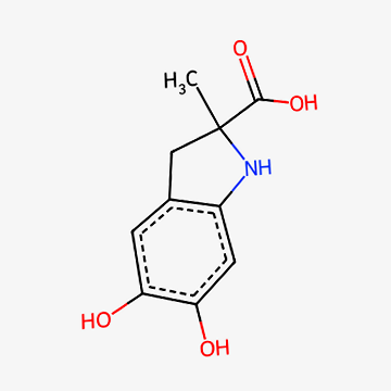 CC1(C(=O)O)Cc2cc(O)c(O)cc2N1